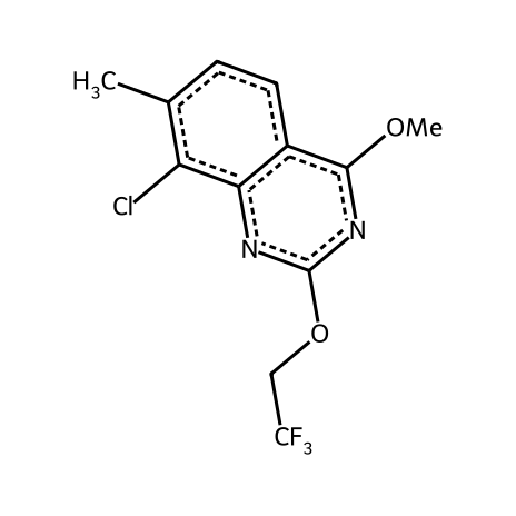 COc1nc(OCC(F)(F)F)nc2c(Cl)c(C)ccc12